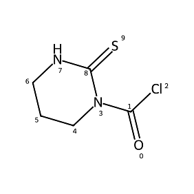 O=C(Cl)N1CCCNC1=S